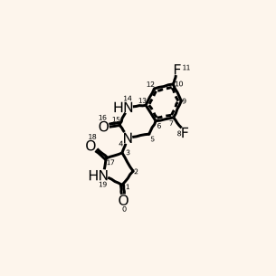 O=C1CC(N2Cc3c(F)cc(F)cc3NC2=O)C(=O)N1